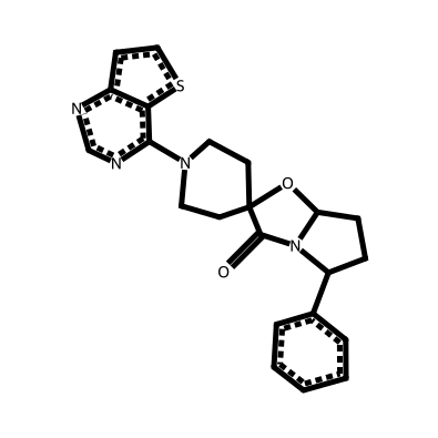 O=C1N2C(CCC2c2ccccc2)OC12CCN(c1ncnc3ccsc13)CC2